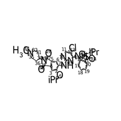 CC(C)Oc1cc2c(cc1Nc1ncc(Cl)c(Nc3ccccc3S(=O)(=O)C(C)C)n1)C(=O)N(C1CCN(C)CC1)C2=O